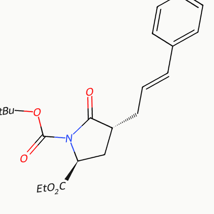 CCOC(=O)[C@@H]1C[C@@H](CC=Cc2ccccc2)C(=O)N1C(=O)OC(C)(C)C